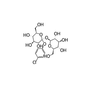 OC[C@H]1O[C@@H](O[C@@]2(Oc3ccc(Cl)cc3)O[C@H](CO)[C@@H](O)[C@H](O)[C@H]2O)[C@H](O)[C@@H](O)[C@@H]1O